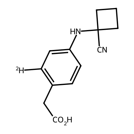 [2H]c1cc(NC2(C#N)CCC2)ccc1CC(=O)O